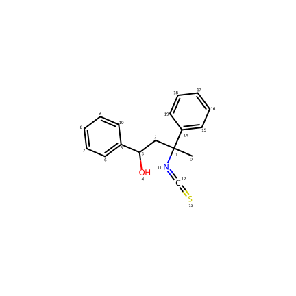 CC(CC(O)c1ccccc1)(N=C=S)c1ccccc1